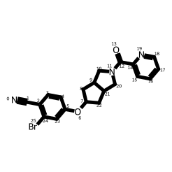 N#Cc1ccc(OC2CC3CN(C(=O)c4ccccn4)CC3C2)cc1Br